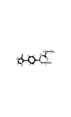 CNC[C@H](OC(=O)NC(C)(C)C)c1ccc(-c2scnc2C)cc1